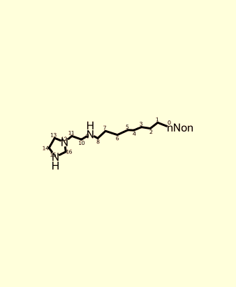 CCCCCCCCCCCCCCCCCNCCN1CCNC1